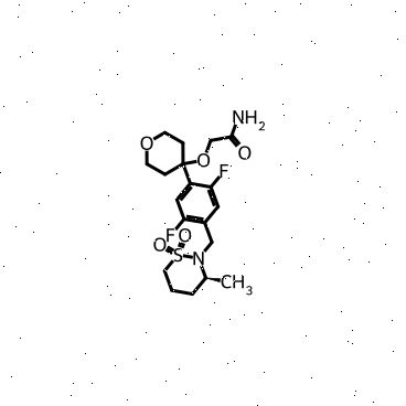 C[C@H]1CCCS(=O)(=O)N1Cc1cc(F)c(C2(OCC(N)=O)CCOCC2)cc1F